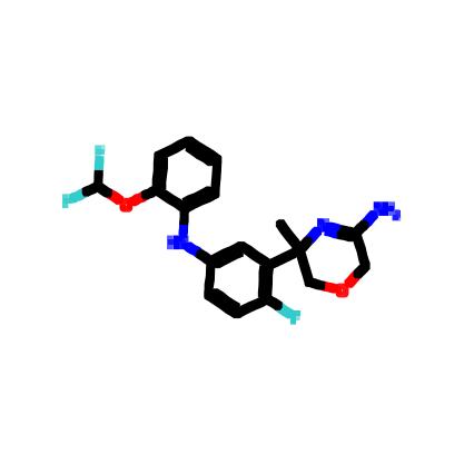 CC1(c2cc(Nc3ccccc3OC(F)F)ccc2F)COCC(N)=N1